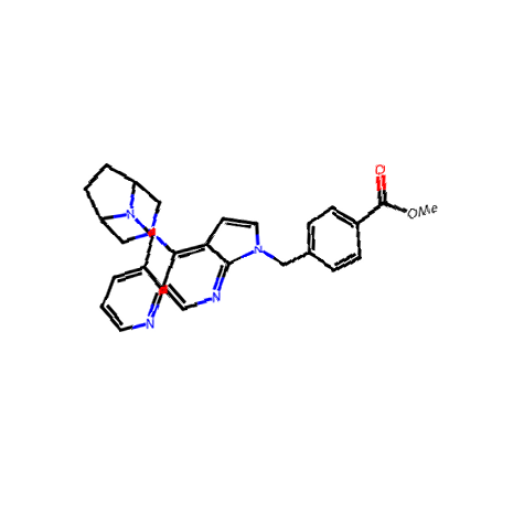 COC(=O)c1ccc(Cn2ccc3c(N4CC5CCC(C4)N5Cc4cccnc4)ccnc32)cc1